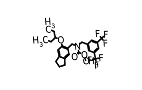 CCC(CC)Oc1cc2c(cc1CN(Cc1cc(C(F)(F)F)cc(C(F)(F)F)c1)C(=O)OC)CCC2